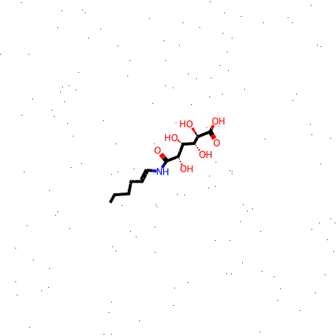 CCCCC=CNC(=O)[C@@H](O)[C@H](O)[C@@H](O)[C@@H](O)C(=O)O